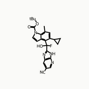 Cc1cc(C2CC2)c(C(O)(F)c2nc3cc(C#N)cnc3[nH]2)c2ccn(C(=O)OC(C)(C)C)c12